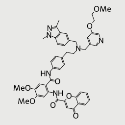 COCCOc1cncc(CN(CCc2ccc(NC(=O)c3cc(OC)c(OC)cc3NC(=O)c3cc(=O)c4ccccc4o3)cc2)Cc2ccc3c(c2)c(C)nn3C)c1